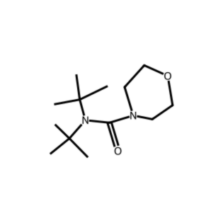 CC(C)(C)N(C(=O)N1CCOCC1)C(C)(C)C